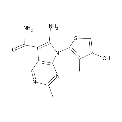 Cc1ncc2c(C(N)=O)c(N)n(-c3scc(O)c3C)c2n1